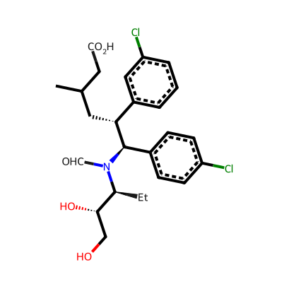 CC[C@@H]([C@@H](O)CO)N(C=O)[C@H](c1ccc(Cl)cc1)[C@H](CC(C)CC(=O)O)c1cccc(Cl)c1